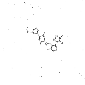 COc1cccc(-c2cc(C)c(OCc3c(C)cccc3-n3nnn(C)c3=O)cc2C)c1